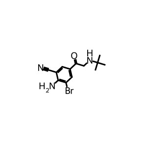 CC(C)(C)NCC(=O)c1cc(Br)c(N)c(C#N)c1